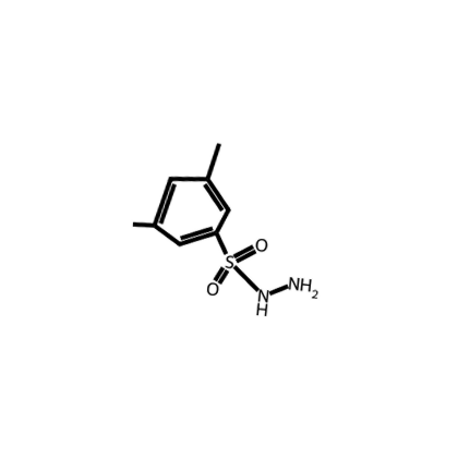 Cc1cc(C)cc(S(=O)(=O)NN)c1